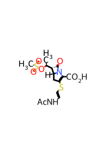 CC(=O)N/C=C/SC1=C(C(=O)O)N2C(=O)[C@@H]([C@H](C)OS(C)(=O)=O)[C@H]2C1